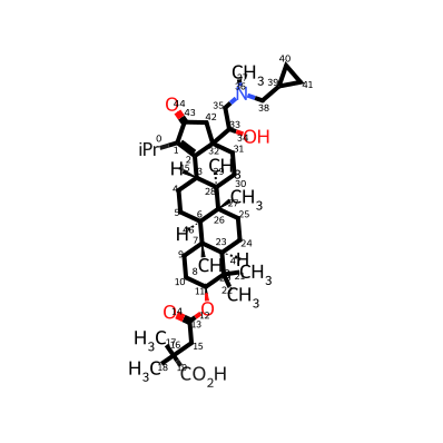 CC(C)C1=C2[C@H]3CC[C@@H]4[C@@]5(C)CC[C@H](OC(=O)CC(C)(C)C(=O)O)C(C)(C)[C@@H]5CC[C@@]4(C)[C@]3(C)CCC2(C(O)CN(C)CC2CC2)CC1=O